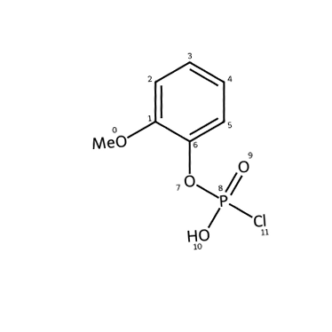 COc1ccccc1OP(=O)(O)Cl